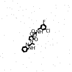 CC(c1nc2ccccc2[nH]1)N1CCC(O)(OC(=O)NCc2cc(F)cc(Cl)c2)C1=O